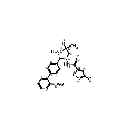 COc1ccccc1-c1ccc(CN(CC(C)(O)C(=O)O)NC(=O)c2cc(O)no2)cc1